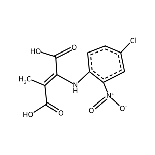 CC(C(=O)O)=C(Nc1ccc(Cl)cc1[N+](=O)[O-])C(=O)O